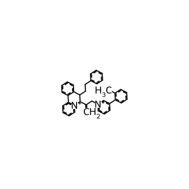 C=C(C[n+]1cccc(-c2ccccc2C)c1)C1C(CCc2ccccc2)c2ccccc2-c2cccc[n+]21